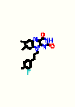 Cc1cc2nc3c(=O)[nH]c(=O)nc-3n(CCCc3ccc(C)c(F)c3)c2cc1C